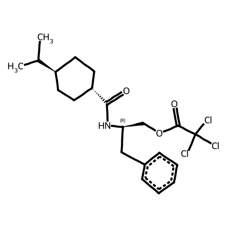 CC(C)[C@H]1CC[C@H](C(=O)N[C@@H](COC(=O)C(Cl)(Cl)Cl)Cc2ccccc2)CC1